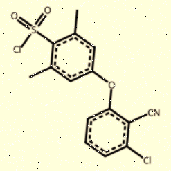 Cc1cc(Oc2cccc(Cl)c2C#N)cc(C)c1S(=O)(=O)Cl